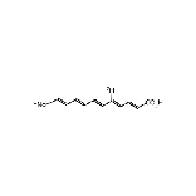 [2H]C(C=CC=CC=CCCCCCCCCC)=CC=CC(=O)O